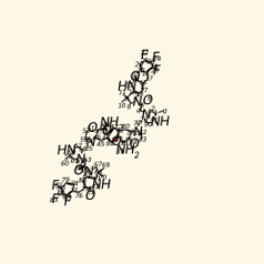 C[C@@H]1CN(CC(=O)N2CC(C)(C)c3[nH]c(=O)c(Cc4ccc(F)c(F)c4F)cc32)[C@@H](CN2CCOC(C(N)=O)C2Cc2ccc(CC3C(C(N)=O)OCCN3C[C@H]3CN[C@H](C)CN3CC(=O)N3CC(C)(C)c4[nH]c(=O)c(Cc5ccc(F)c(F)c5F)cc43)cc2)CN1